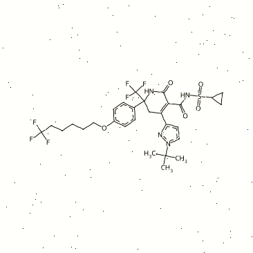 CC(C)(C)n1ccc(C2=C(C(=O)NS(=O)(=O)C3CC3)C(=O)NC(c3ccc(OCCCCCC(F)(F)F)cc3)(C(F)(F)F)C2)n1